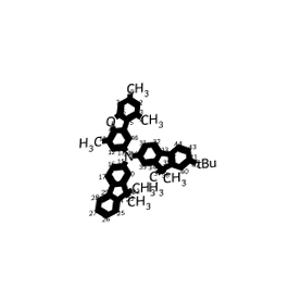 Cc1cc(C)c2c(c1)oc1c(C)cc(N(c3ccc4c(c3)C(C)(C)c3ccccc3-4)c3ccc4c(c3)C(C)(C)c3cc(C(C)(C)C)ccc3-4)cc12